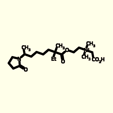 CCC(C)(CCCCC(C)N1CCCC1=O)C(=O)OCC[N+](C)(C)CC(=O)O